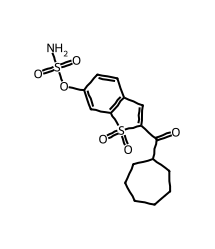 NS(=O)(=O)Oc1ccc2c(c1)S(=O)(=O)C(C(=O)C1CCCCCC1)=C2